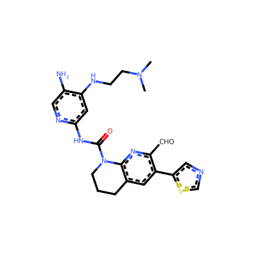 CN(C)CCNc1cc(NC(=O)N2CCCc3cc(-c4cncs4)c(C=O)nc32)ncc1N